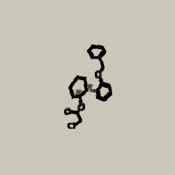 O=C(CCl)O[C@H]1CCCC[C@@H]1c1ccccc1OCc1ccccc1